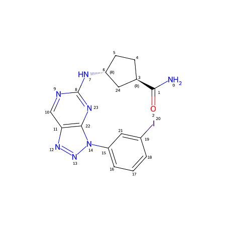 NC(=O)[C@@H]1CC[C@@H](Nc2ncc3nnn(-c4cccc(I)c4)c3n2)C1